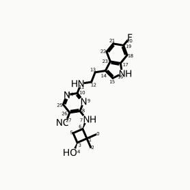 CC1(C)[C@@H](O)C[C@H]1Nc1nc(NCCc2c[nH]c3cc(F)ccc23)ncc1C#N